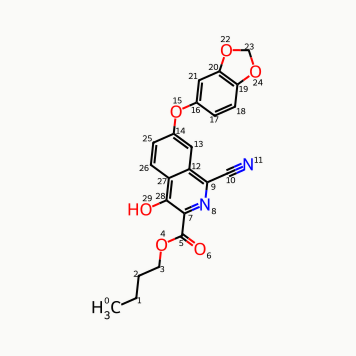 CCCCOC(=O)c1nc(C#N)c2cc(Oc3ccc4c(c3)OCO4)ccc2c1O